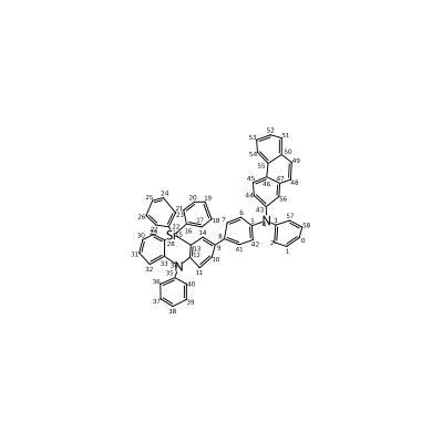 c1ccc(N(c2ccc(-c3ccc4c(c3)[Si](c3ccccc3)(c3ccccc3)c3ccccc3N4c3ccccc3)cc2)c2ccc3c(ccc4ccccc43)c2)cc1